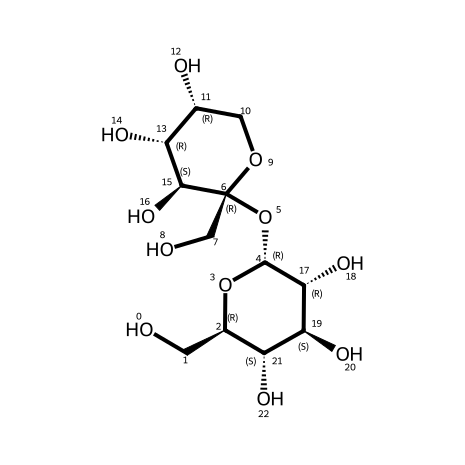 OC[C@H]1O[C@H](O[C@@]2(CO)OC[C@@H](O)[C@@H](O)[C@@H]2O)[C@H](O)[C@@H](O)[C@@H]1O